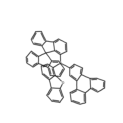 c1ccc2c(c1)-c1ccccc1C21c2ccccc2-c2cccc(N(c3ccc4c5ccccc5c5ccccc5c4c3)c3cccc4c3oc3ccccc34)c21